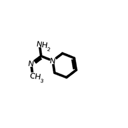 C/N=C(/N)N1CC=CCC1